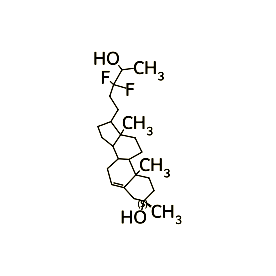 CC(O)C(F)(F)CCC1CCC2C3CC=C4C[C@@](C)(O)CCC4(C)C3CCC12C